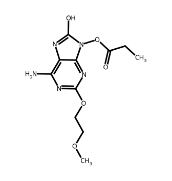 CCC(=O)On1c(O)nc2c(N)nc(OCCOC)nc21